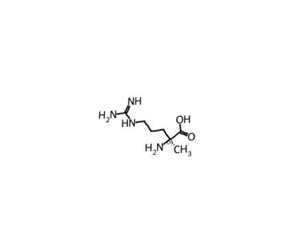 C[C@](N)(CCCNC(=N)N)C(=O)O